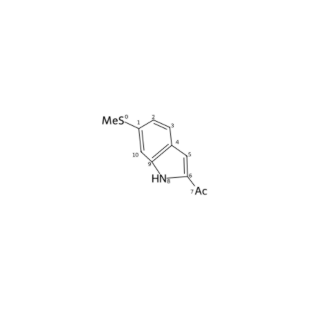 CSc1ccc2cc(C(C)=O)[nH]c2c1